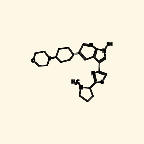 CN1CCCC1c1nc(-c2cn(S)c3ncc([C@H]4CC[C@H](N5CCOCC5)CC4)cc23)cs1